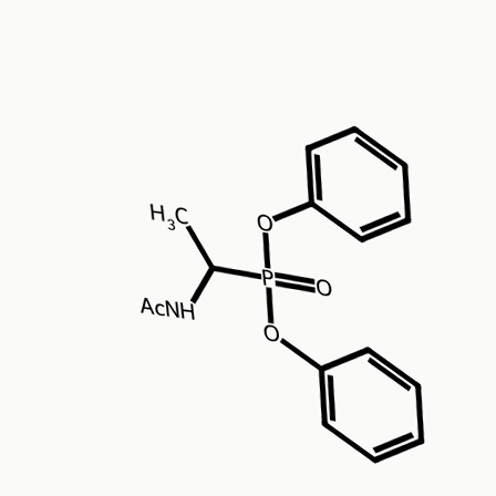 CC(=O)NC(C)P(=O)(Oc1ccccc1)Oc1ccccc1